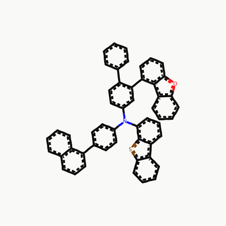 c1ccc(-c2ccc(N(c3ccc(-c4cccc5ccccc45)cc3)c3cccc4c3sc3ccccc34)cc2-c2cccc3oc4ccccc4c23)cc1